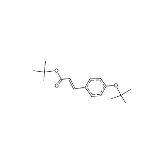 CC(C)(C)OC(=O)C=Cc1ccc(OC(C)(C)C)cc1